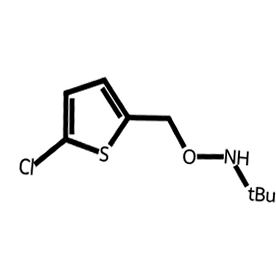 CC(C)(C)NOCc1ccc(Cl)s1